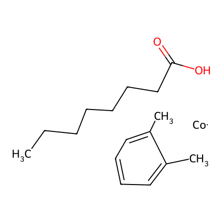 CCCCCCCC(=O)O.Cc1ccccc1C.[Co]